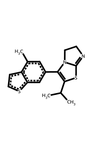 Cc1cc(C2=C(C(C)C)SC3=NCCN32)cc2sccc12